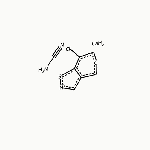 Clc1cccc2cnsc12.N#CN.[CaH2]